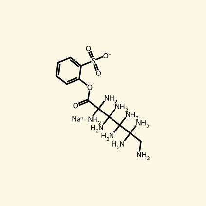 NCC(N)(N)C(N)(N)C(N)(N)C(N)(N)C(=O)Oc1ccccc1S(=O)(=O)[O-].[Na+]